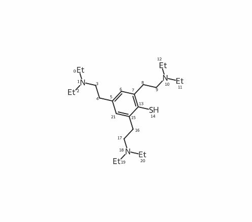 CCN(CC)CCc1cc(CCN(CC)CC)c(S)c(CCN(CC)CC)c1